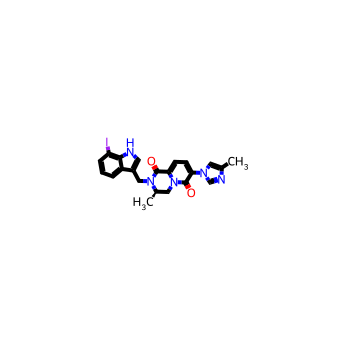 Cc1cn(-c2ccc3n(c2=O)C[C@@H](C)N(Cc2c[nH]c4c(I)cccc24)C3=O)cn1